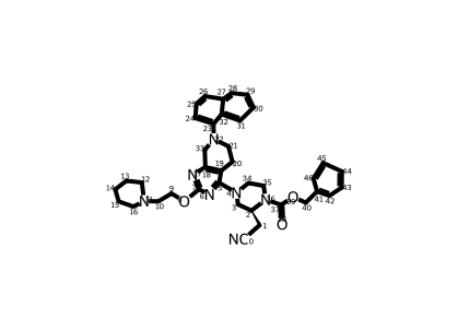 N#CC[C@H]1CN(c2nc(OCCN3CCCCC3)nc3c2CCN(c2cccc4ccccc24)C3)CCN1C(=O)OCc1ccccc1